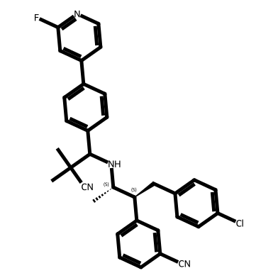 C[C@H](NC(c1ccc(-c2ccnc(F)c2)cc1)C(C)(C)C#N)[C@@H](Cc1ccc(Cl)cc1)c1cccc(C#N)c1